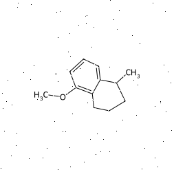 COc1cccc2c1CCCC2C